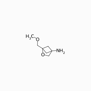 COCC12CC(N)(CO1)C2